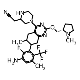 Cc1cc(N)c(F)c(C2Cc3nc(OC[C@@H]4CCCN4C)nc(N4CCNC(CC#N)C4)c3CC2C)c1C(F)(F)F